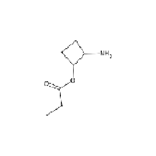 CCC(=O)OC1CCC1N